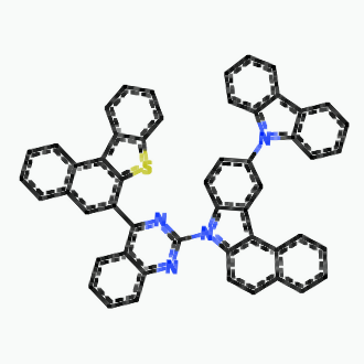 c1ccc2c(c1)cc(-c1nc(-n3c4ccc(-n5c6ccccc6c6ccccc65)cc4c4c5ccccc5ccc43)nc3ccccc13)c1sc3ccccc3c12